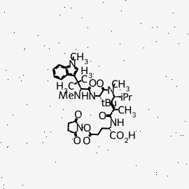 CN[C@H](C(=O)N[C@H](C(=O)N(C)[C@H](/C=C(\C)C(=O)N[C@@H](CCC(=O)ON1C(=O)CCC1=O)C(=O)O)C(C)C)C(C)(C)C)C(C)(C)c1cn(C)c2ccccc12